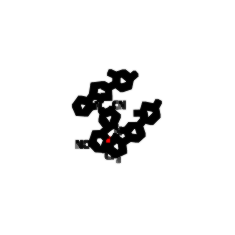 Cc1ccc(-c2ccc3c4ccccc4n(-c4cc(-c5cc(C#N)cc(C(F)(F)F)c5)c(-n5c6ccccc6c6ccc(-c7ccc(C)cc7C)cc65)cc4C#N)c3c2)c(C)c1